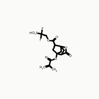 C=C(C)C(=O)OC12CC(C(=O)OCC(F)(F)S(=O)(=O)O)C3(CC1C(=O)O3)C2